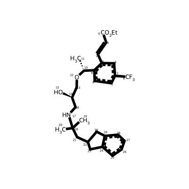 CCOC(=O)/C=C/c1cc(C(F)(F)F)ccc1[C@@H](C)OC[C@H](O)CNC(C)(C)CC1Cc2ccccc2C1